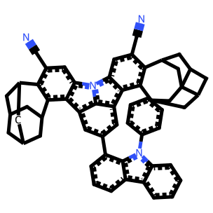 N#Cc1cc2c(c3c1C1CC4CC(C1)CC3C4)c1cc(-c3cccc4c5ccccc5n(-c5ccccc5)c34)cc3c4c5c(c(C#N)cc4n2c13)C1CC2CC3CC5CC23C1